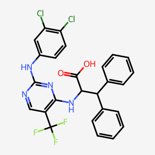 O=C(O)C(Nc1nc(Nc2ccc(Cl)c(Cl)c2)ncc1C(F)(F)F)C(c1ccccc1)c1ccccc1